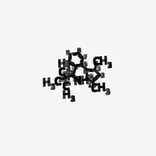 CC1=CC(C)=C(c2ccccc2C(=N)C(C)(C)C)C1